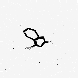 Cc1cc(O)c2c(c1)CCCC2